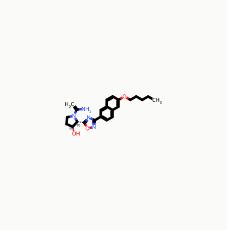 C=C(N)N1CC[C@H](O)[C@H]1c1nc(-c2ccc3cc(OCCCCC)ccc3c2)no1